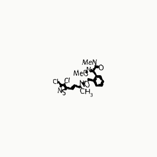 CNC(=O)/C(=N/OC)c1ccccc1CO/N=C(C)/C=C/c1snc(Cl)c1Cl